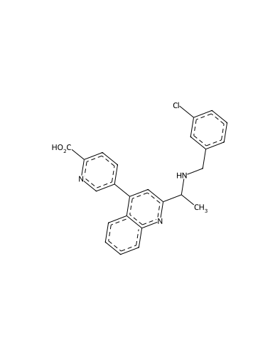 CC(NCc1cccc(Cl)c1)c1cc(-c2ccc(C(=O)O)nc2)c2ccccc2n1